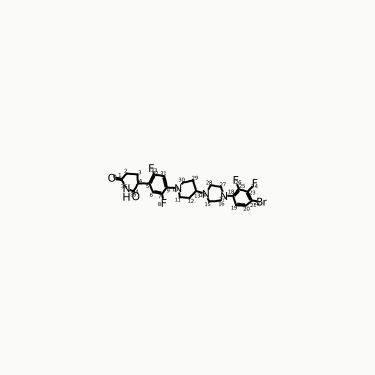 O=C1CCC(c2cc(F)c(N3CCC(N4CCN(c5ccc(Br)c(F)c5F)CC4)CC3)cc2F)C(=O)N1